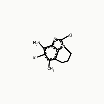 Cc1c(Br)c(N)c2nc(Cl)n3c2c1CCC3